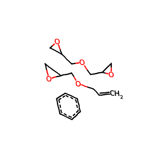 C(OCC1CO1)C1CO1.C=CCOCC1CO1.c1ccccc1